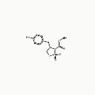 CC(C)(C)OC(=O)N1C(Cc2ccc(Br)cc2)COS1(=O)=O